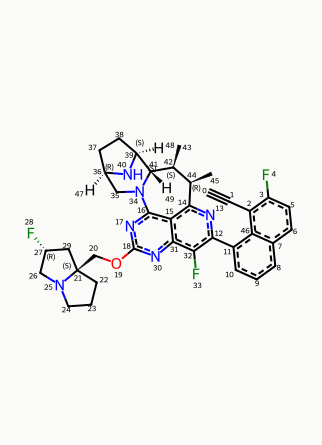 C#Cc1c(F)ccc2cccc(-c3nc4c5c(nc(OC[C@@]67CCCN6C[C@H](F)C7)nc5c3F)N3C[C@H]5CC[C@H](N5)[C@@H]3[C@@H](C)[C@H]4C)c12